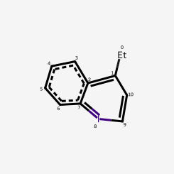 CCC1=c2ccccc2=IC=C1